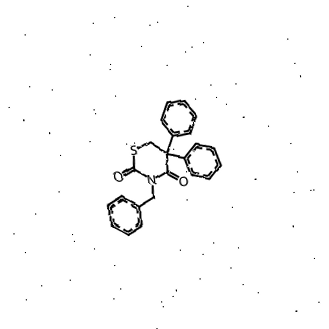 O=C1SCC(c2ccccc2)(c2ccccc2)C(=O)N1Cc1ccccc1